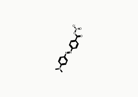 CN(C)c1ccc(N=Nc2ccc(C(=O)O[N+](=O)[O-])cc2)cc1